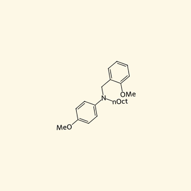 CCCCCCCCN(Cc1ccccc1OC)c1ccc(OC)cc1